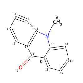 Cn1c2c#cccc2c(=O)c2ccccc21